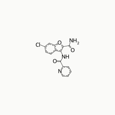 NC(=O)c1oc2cc(Cl)ccc2c1NC(=O)c1ccccn1